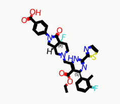 CCOC(=O)C1=C(CN2CC[C@]3(F)C(=O)N(c4ccc(C(=O)O)cc4)C[C@@H]3C2)NC(c2nccs2)=N[C@H]1c1cccc(F)c1C